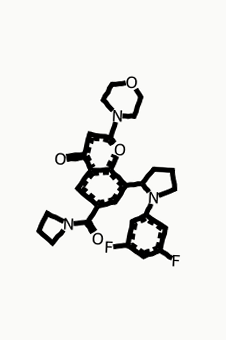 O=C(c1cc(C2CCCN2c2cc(F)cc(F)c2)c2oc(N3CCOCC3)cc(=O)c2c1)N1CCC1